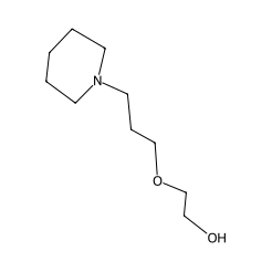 OCCOCCCN1CCCCC1